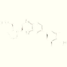 Cc1cc(-c2ccc3ncc(N4CCC[C@H]4CO)nc3c2)cc(C)c1O